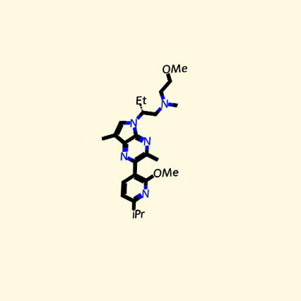 CC[C@H](CN(C)CCOC)n1cc(C)c2nc(-c3ccc(C(C)C)nc3OC)c(C)nc21